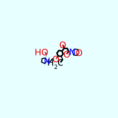 C=Cc1c(OCCN2CCC[C@@H]2CO)ccc2c(=O)cc(N3CCOCC3)oc12